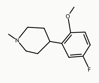 COc1ccc(F)cc1C1CCN(C)CC1